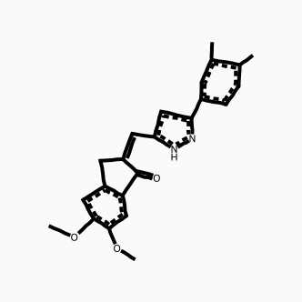 COc1cc2c(cc1OC)C(=O)C(=Cc1cc(-c3ccc(C)c(C)c3)n[nH]1)C2